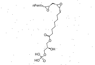 CCCCC[C@@H]1O[C@@H]1C[C@H]1O[C@H]1CCCCCCCC(=O)OC[C@@H](O)COP(=O)(O)O